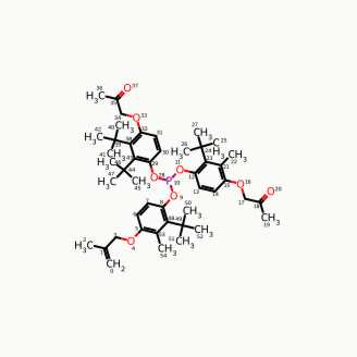 C=C(C)COc1ccc(OP(Oc2ccc(OCC(C)=O)c(C)c2C(C)(C)C)Oc2ccc(OCC(C)=O)c(C(C)(C)C)c2C(C)(C)C)c(C(C)(C)C)c1C